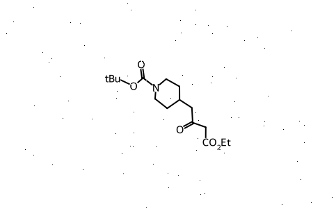 CCOC(=O)CC(=O)CC1CCN(C(=O)OC(C)(C)C)CC1